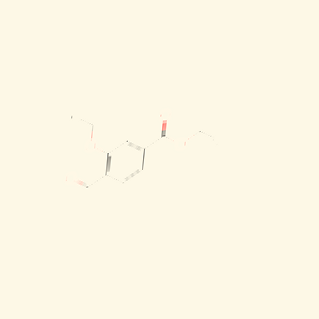 CCOC(=O)c1ccc(C=O)c(OCC)c1